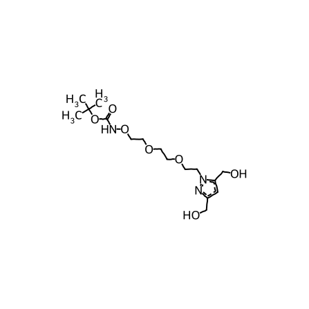 CC(C)(C)OC(=O)NOCCOCCOCCn1nc(CO)cc1CO